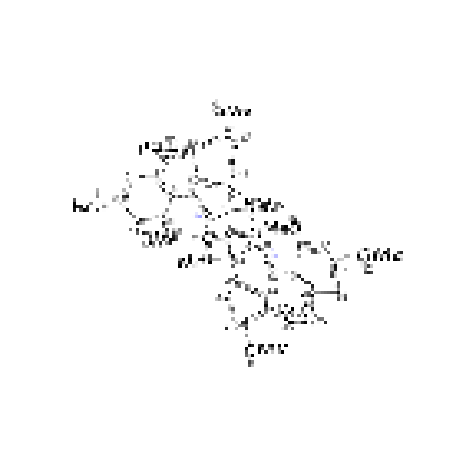 CNC(/C=C/c1c(OC)cc(OC)cc1OC)(c1ccc(OC)c(C(=O)O)c1)S(=O)(=O)C(/C=C/c1c(OC)cc(OC)cc1OC)(NC)c1ccc(OC)c(C(=O)O)c1